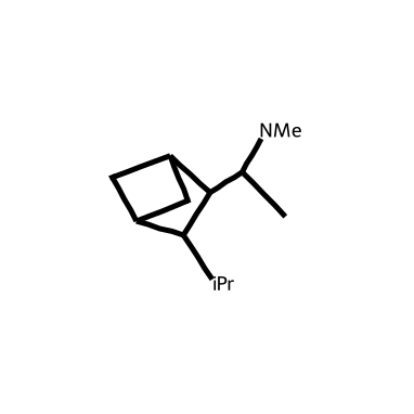 CNC(C)C1C2CC(C2)C1C(C)C